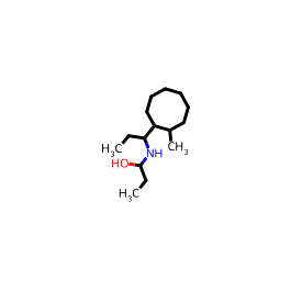 CCC(O)NC(CC)C1CCCCCCC1C